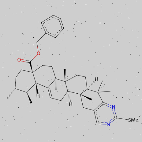 CSc1ncc2c(n1)C(C)(C)[C@@H]1CC[C@]3(C)[C@H](CC=C4[C@@H]5[C@@H](C)[C@H](C)CC[C@]5(C(=O)OCc5ccccc5)CC[C@]43C)[C@@]1(C)C2